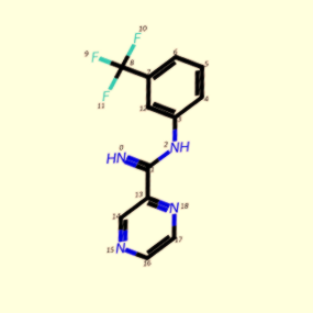 N=C(Nc1cccc(C(F)(F)F)c1)c1cnccn1